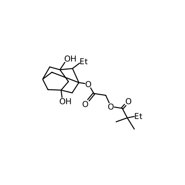 CCC1C2(O)CC3CC(O)(C2)CC1(OC(=O)COC(=O)C(C)(C)CC)C3